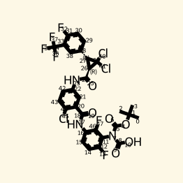 CC(C)(C)OC(=O)N(C(=O)O)c1c(F)ccc(NC(=O)c2cc(NC(=O)[C@H]3[C@H](c4ccc(F)c(C(F)(F)F)c4)C3(Cl)Cl)ccc2Cl)c1F